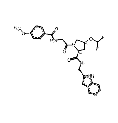 COc1ccc(C(=O)NCC(=O)N2C[C@H](OC(F)F)C[C@H]2C(=O)NCc2cc3cnccc3[nH]2)cc1